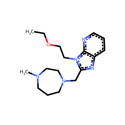 CCOCCn1c(CN2CCCN(C)CC2)nc2cccnc21